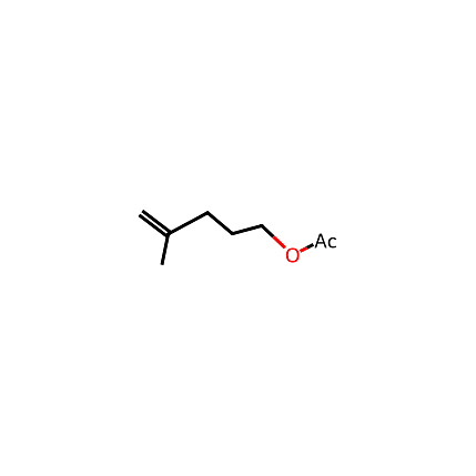 C=C(C)CCCOC(C)=O